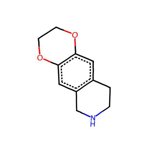 c1c2c(cc3c1OCCO3)CNCC2